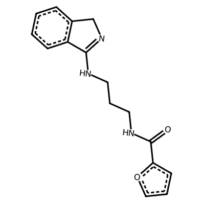 O=C(NCCCNC1=NCc2ccccc21)c1ccco1